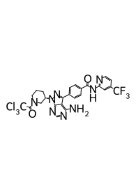 Nc1ncnc2c1c(-c1ccc(C(=O)Nc3cc(C(F)(F)F)ccn3)cc1)nn2[C@@H]1CCCN(C(=O)C(Cl)(Cl)Cl)C1